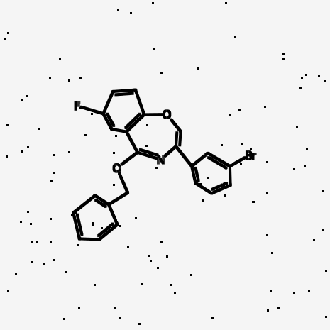 Fc1ccc2c(c1)C(OCc1ccccc1)=NC(c1cccc(Br)c1)=CO2